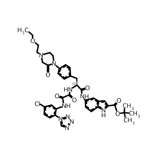 CCOCCN1CCN(c2ccc(C[C@H](NC(=O)C(=O)Nc3cc(Cl)ccc3-n3cnnn3)C(=O)Nc3ccc4[nH]c(C(=O)OC(C)(C)C)cc4c3)cc2)C(=O)C1